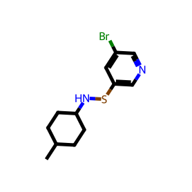 CC1CCC(NSc2cncc(Br)c2)CC1